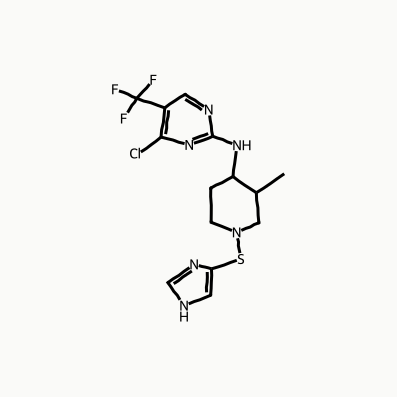 CC1CN(Sc2c[nH]cn2)CCC1Nc1ncc(C(F)(F)F)c(Cl)n1